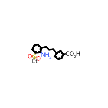 CCS(=O)(=O)c1cccc(CCCc2cccc(C(=O)O)c2)c1N